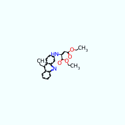 CCOC(=O)C=C(Nc1ccc2c(CC)c3ccccc3nc2c1)C(=O)OCC